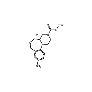 CC(C)(C)OC(=O)N1CCN2c3ccc(N)cc3COC[C@H]2C1